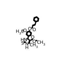 CCOC(=O)C1=C(C)NC(=S)NC1c1ccc(OC(=O)/C=C/c2ccccc2)c(OC)c1